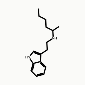 CCCCC(C)NCCc1c[nH]c2ccccc12